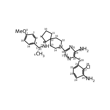 COc1ccc([C@@H](C)N[C@@H]2CCCC23CCN(c2nnc(Sc4cccc(N)c4Cl)c(N)n2)CC3)cc1